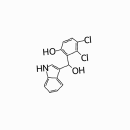 Oc1ccc(Cl)c(Cl)c1C(O)c1c[nH]c2ccccc12